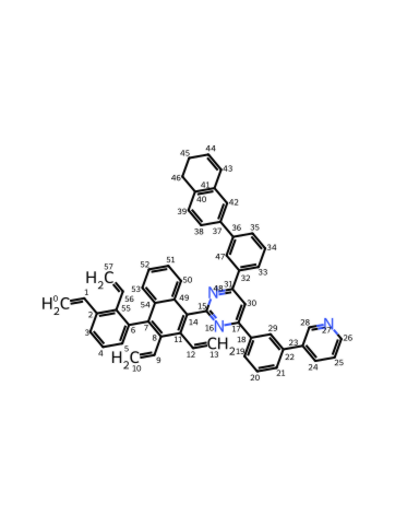 C=Cc1cccc(-c2c(C=C)c(C=C)c(-c3nc(-c4cccc(-c5cccnc5)c4)cc(-c4cccc(-c5ccc6c(c5)C=CCC6)c4)n3)c3ccccc23)c1C=C